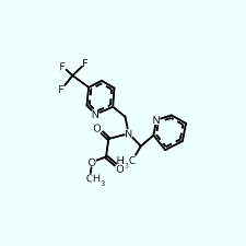 COC(=O)C(=O)N(Cc1ccc(C(F)(F)F)cn1)C(C)c1ccccn1